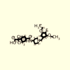 CCOc1cc(CN2CCC(NC(=O)c3ccc(C(C)(C)C(=O)O)cc3)CC2)cc(OCC)c1F